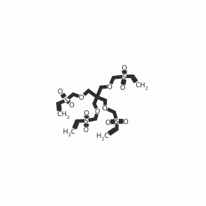 C=CS(=O)(=O)COCC(COCS(=O)(=O)C=C)(COCS(=O)(=O)C=C)COCS(=O)(=O)C=C